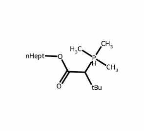 CCCCCCCOC(=O)C(C(C)(C)C)[PH](C)(C)C